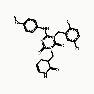 COc1ccc(Nc2nc(=O)n(CC3CC=CNC3=O)c(=O)n2Cc2cc(Cl)ccc2Cl)cc1